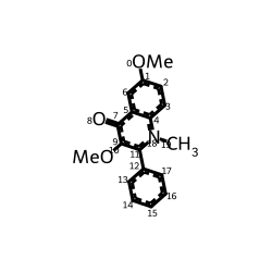 COc1ccc2c(c1)c(=O)c(OC)c(-c1ccccc1)n2C